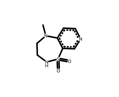 CN1CCNS(=O)(=O)c2cnccc21